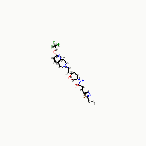 Cc1ncc(/C=C/C(=O)N[C@H]2CC[C@H](CCN3CCc4ccc(OCC(F)(F)F)nc4CC3)OC2)s1